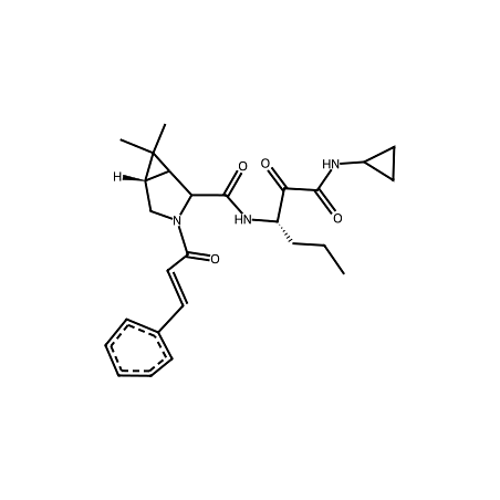 CCC[C@H](NC(=O)C1C2[C@H](CN1C(=O)/C=C/c1ccccc1)C2(C)C)C(=O)C(=O)NC1CC1